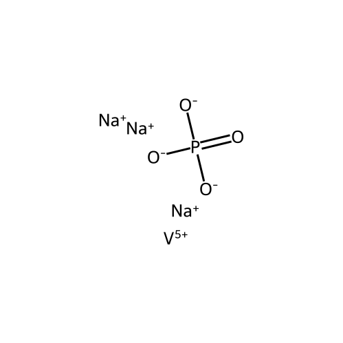 O=P([O-])([O-])[O-].[Na+].[Na+].[Na+].[V+5]